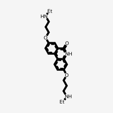 CCNCCCOc1ccc2c(c1)[nH]c(=O)c1cc(OCCCNCC)ccc12